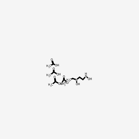 CC(=O)O.CC(=O)O.CC(=O)O.CC(=O)O.CCN(O)CCNO